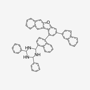 c1ccc(C2NC(c3ccccc3)NC(c3ccc(-c4cc(-c5ccc6ccccc6c5)cc5oc6cc7ccccc7cc6c45)c4ccccc34)N2)cc1